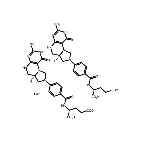 Nc1nc2c(c(=O)[nH]1)N1CN(c3ccc(C(=O)N[C@@H](CCC(=O)[O-])C(=O)O)cc3)C[C@H]1CN2.Nc1nc2c(c(=O)[nH]1)N1CN(c3ccc(C(=O)N[C@@H](CCC(=O)[O-])C(=O)O)cc3)C[C@H]1CN2.[Ca+2]